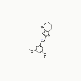 COc1cc(/C=C/c2nc3c(s2)NCCCC3)cc(OC)c1